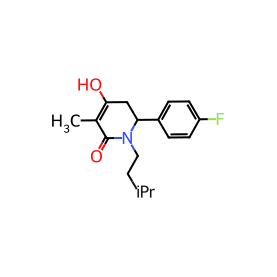 CC1=C(O)CC(c2ccc(F)cc2)N(CCC(C)C)C1=O